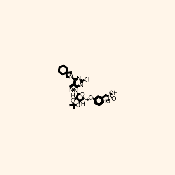 CC1(C)O[C@@H]2[C@H](O1)[C@@H](COc1cccc(CP(=O)(O)O)c1)O[C@H]2n1ncc2c(N3CC4(CCCCC4)C3)nc(Cl)nc21